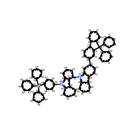 c1ccc(C2(c3ccccc3)c3ccccc3-c3ccc(-c4ccc5c6ccccc6n(-c6cccc7c6c6ccccc6n7-c6ccc([Si](c7ccccc7)(c7ccccc7)c7ccccc7)cc6)c5c4)cc32)cc1